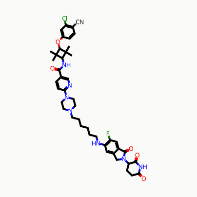 CC1(C)C(NC(=O)c2ccc(N3CCN(CCCCCCNc4cc5c(cc4F)C(=O)N(C4CCC(=O)NC4=O)C5)CC3)nc2)C(C)(C)C1Oc1ccc(C#N)c(Cl)c1